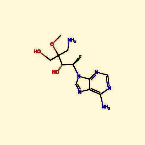 COC(CN)(CO)[C@@H](O)[C@@H](F)n1cnc2c(N)ncnc21